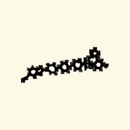 N#Cc1ccc2nc(N3CCN(c4ccc(-c5ccc(C(F)(F)[C@]6(O)Cn7nnnc7-c7cc(F)ccc76)nc5)cc4)CC3)sc2c1